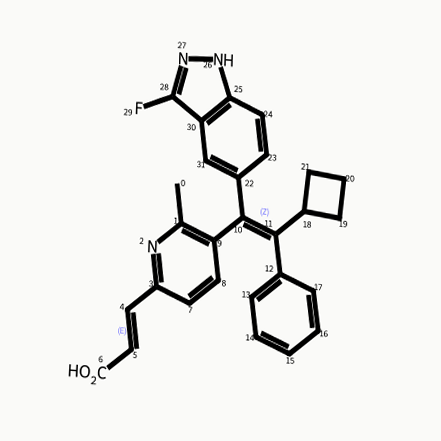 Cc1nc(/C=C/C(=O)O)ccc1/C(=C(\c1ccccc1)C1CCC1)c1ccc2[nH]nc(F)c2c1